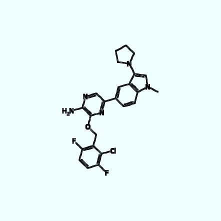 Cn1cc(N2CCCC2)c2cc(-c3cnc(N)c(OCc4c(F)ccc(F)c4Cl)n3)ccc21